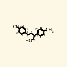 Cc1ccc(C(CO)CCc2ccc(Cl)cc2)cc1